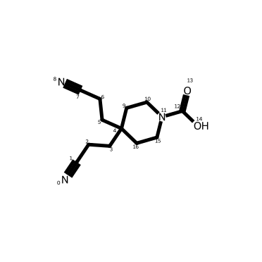 N#CCCC1(CCC#N)CCN(C(=O)O)CC1